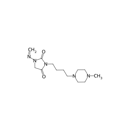 C=NN1CC(=O)N(CCCCN2CCN(C)CC2)C1=O